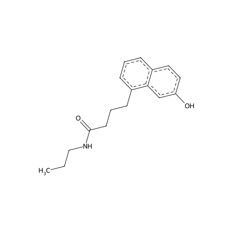 CCCNC(=O)CCCc1cccc2ccc(O)cc12